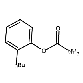 CCCCc1ccccc1OC(N)=O